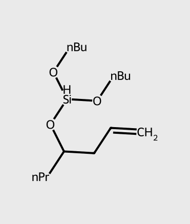 C=CCC(CCC)O[SiH](OCCCC)OCCCC